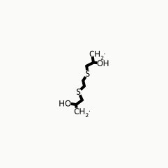 [CH2]C(O)CSCCSCC([CH2])O